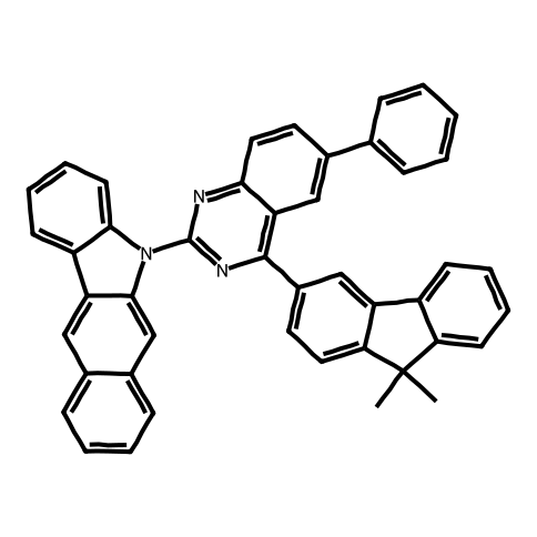 CC1(C)c2ccccc2-c2cc(-c3nc(-n4c5ccccc5c5cc6ccccc6cc54)nc4ccc(-c5ccccc5)cc34)ccc21